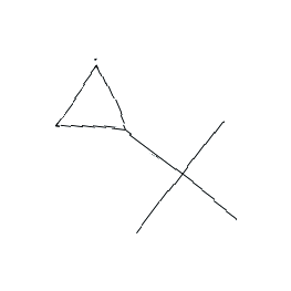 CC(C)(C)C1[CH]C1